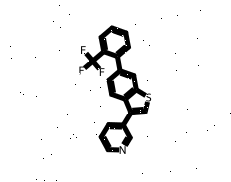 FC(F)(F)c1ccccc1-c1ccc2c(-c3cccnc3)csc2c1